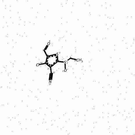 CC[S+]([O-])c1sc(C=O)c(Cl)c1C#N